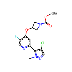 Cn1ncc(Cl)c1-c1cc(OC2CN(C(=O)OC(C)(C)C)C2)c(F)cn1